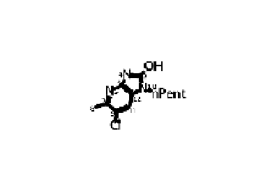 CCCCCn1c(O)nc2nc(C)c(Cl)cc21